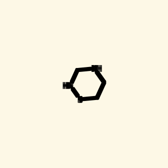 C1CSNCN1